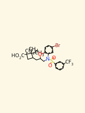 CC1(C)C(CC2CN(S(=O)(=O)c3cccc(C(F)(F)F)c3)c3cc(Br)ccc3O2)CC1(C(=O)O)C(=O)O